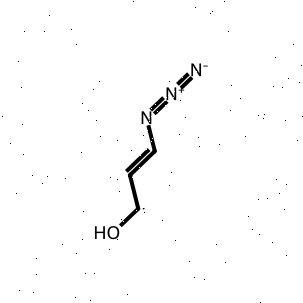 [N-]=[N+]=N/C=C/[CH]O